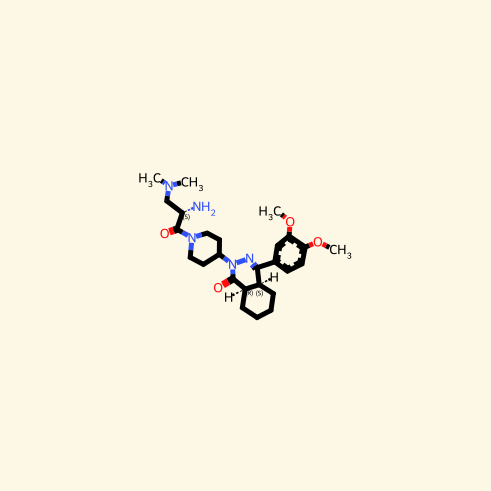 COc1ccc(C2=NN(C3CCN(C(=O)[C@@H](N)CN(C)C)CC3)C(=O)[C@@H]3CCCC[C@H]23)cc1OC